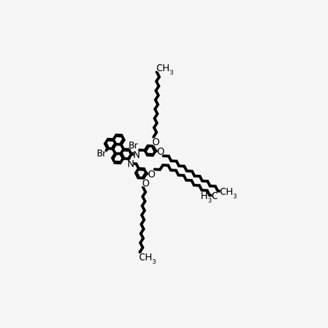 CCCCCCCCCCCCCCCCOc1ccc(CN=c2c(Br)c3c4cccc5ccc(Br)c(c6cccc(c2=NCc2ccc(OCCCCCCCCCCCCCCCC)c(OCCCCCCCCCCCCCCCC)c2)c63)c54)cc1OCCCCCCCCCCCCCCCC